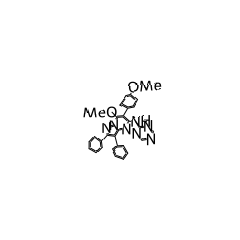 COc1ccc(-c2c(Nc3ncncn3)nc3c(-c4ccccc4)c(-c4ccccc4)nn3c2OC)cc1